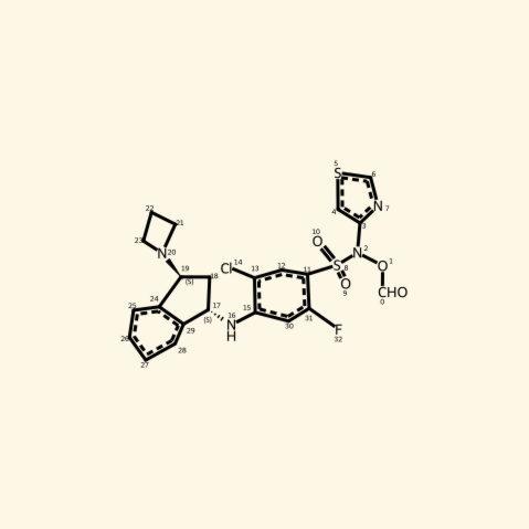 O=CON(c1cscn1)S(=O)(=O)c1cc(Cl)c(N[C@H]2C[C@H](N3CCC3)c3ccccc32)cc1F